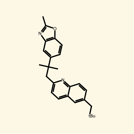 Cc1nc2cc(C(C)(C)Cc3ccc4cc(CC(C)(C)C)ccc4n3)ccc2o1